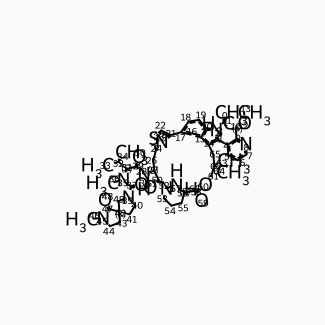 CCn1c(-c2cccnc2[C@H](C)OC)c2c3cc(ccc31)-c1csc(n1)C[C@H](NC(=O)[C@H](C(C)C)N(C)C(=O)N1CC[C@]3(CCN(C)C3=O)C1)C(=O)N1CCC[C@H](N1)C(=O)OCC(C)(C)C2